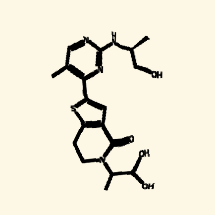 Cc1cnc(N[C@@H](C)CO)nc1-c1cc2c(s1)CCN(C(C)C(O)O)C2=O